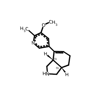 COc1cc(C2=CCC[C@@H]3CNC[C@H]23)cnc1C